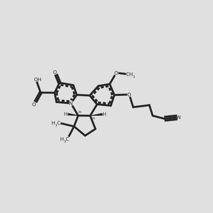 COc1cc2c(cc1OCCCC#N)[C@@H]1CCC(C)(C)[C@@H]1n1cc(C(=O)O)c(=O)cc1-2